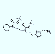 CC(C)(C)OC(=O)N(CCCc1nc(CN)co1)CCCN(C(=O)OC(C)(C)C)C1CCCCC1